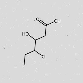 CCC(Cl)C(O)CC(=O)O